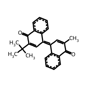 CC1=C/C(=C2/C=C(C(C)(C)C)C(=O)c3ccccc32)c2ccccc2C1=O